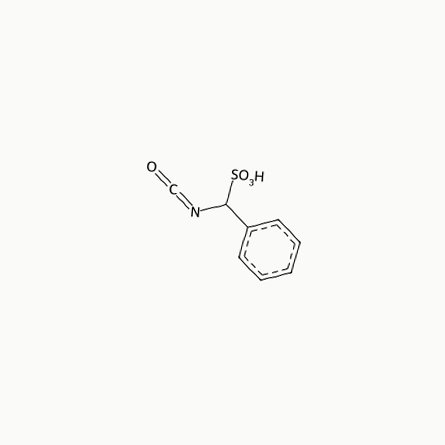 O=C=NC(c1ccccc1)S(=O)(=O)O